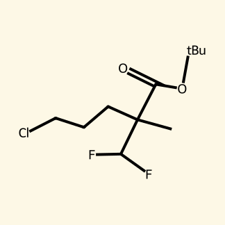 CC(C)(C)OC(=O)C(C)(CCCCl)C(F)F